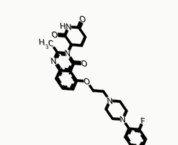 Cc1nc2cccc(OCCN3CCN(c4ccc(C#N)cc4F)CC3)c2c(=O)n1C1CCC(=O)NC1=O